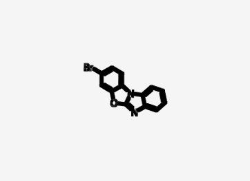 Brc1ccc2c(c1)oc1nc3ccccc3n12